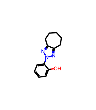 Oc1ccccc1-n1nc2c(n1)CCCCC2